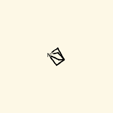 C1C23C[N+]1(C2)C3